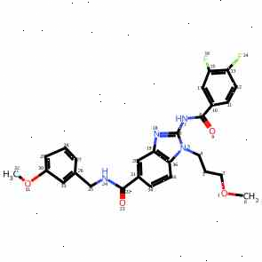 COCCCn1c(NC(=O)c2ccc(F)c(F)c2)nc2cc(C(=O)NCc3cccc(OC)c3)ccc21